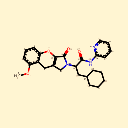 COc1cccc2c1CC1=C(O2)C(=O)N(C(CC2CCCCC2)C(=O)Nc2ccccn2)C1